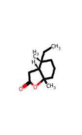 CC[C@]1(C)CCCC2(C)OC(=O)C[C@@H]21